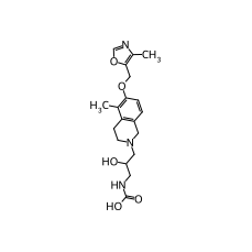 Cc1ncoc1COc1ccc2c(c1C)CCN(CC(O)CNC(=O)O)C2